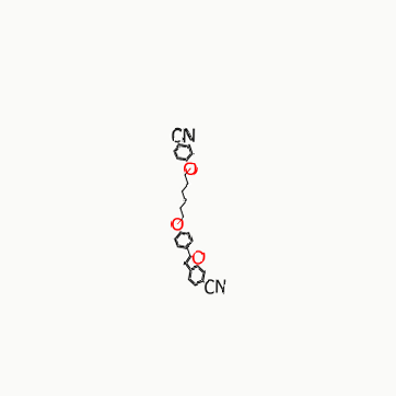 N#Cc1ccc(OCCCCCCOc2ccc(-c3cc4ccc(C#N)cc4o3)cc2)cc1